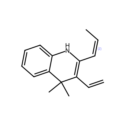 C=CC1=C(/C=C\C)Nc2ccccc2C1(C)C